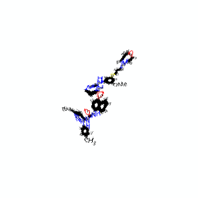 COc1cc(Nc2nccc(Oc3ccc(NC(=O)Nc4cc(C(C)(C)C)nn4-c4ccc(C)cc4)c4ccccc34)n2)cc(SCCCN2CCOCC2)c1